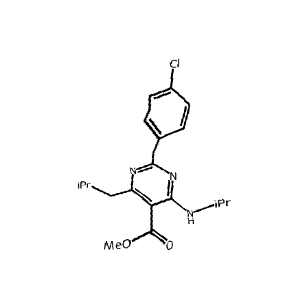 COC(=O)c1c(CC(C)C)nc(-c2ccc(Cl)cc2)nc1NC(C)C